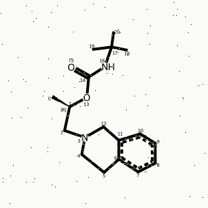 C[C@H](CN1CCc2ccccc2C1)OC(=O)NC(C)(C)C